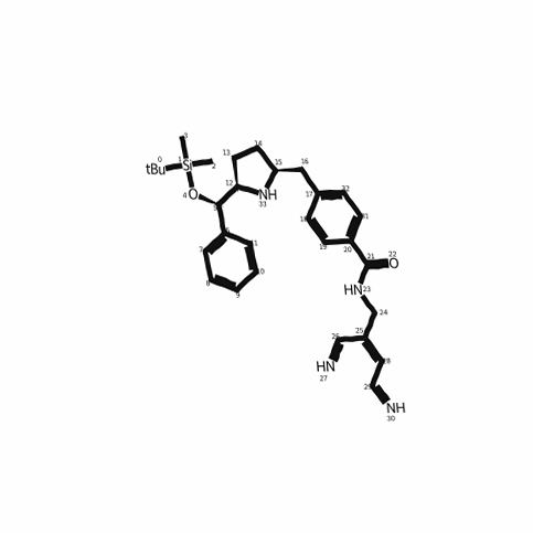 CC(C)(C)[Si](C)(C)O[C@H](c1ccccc1)[C@H]1CC[C@@H](Cc2ccc(C(=O)NC/C(C=N)=C/C=N)cc2)N1